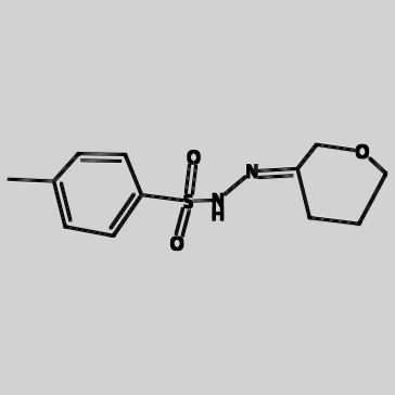 Cc1ccc(S(=O)(=O)NN=C2CCCOC2)cc1